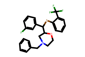 Fc1cccc(C(Sc2ccccc2C(F)(F)F)C2CN(Cc3ccccc3)CCO2)c1